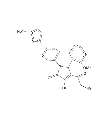 COc1ncccc1C1C(C(=O)CC(C)C)=C(O)C(=O)N1c1ccc(-c2ccc(C)s2)cc1